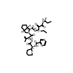 C=C(C)[C@H](NC(=O)[C@@H](NC(=O)c1cnccn1)C1CCCCC1)C(=O)N1C[C@@H]2CCC[C@@H]2[C@H]1C(=O)N[C@@H](CCC)C(=O)C(=O)N[C@@H](C)CC